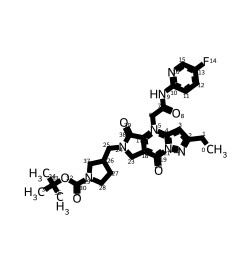 CCc1cc2n(CC(=O)Nc3ccc(F)cn3)c3c(c(=O)n2n1)CN(CC1CCN(C(=O)OC(C)(C)C)C1)C3=O